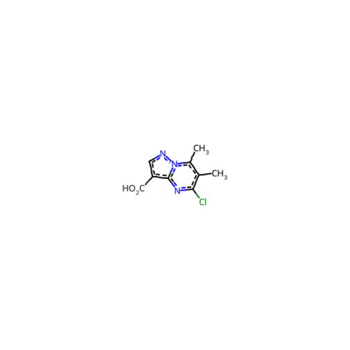 Cc1c(Cl)nc2c(C(=O)O)cnn2c1C